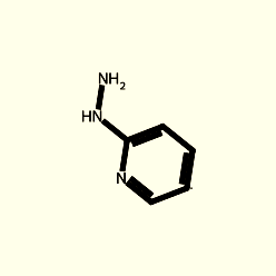 NNc1cc[c]cn1